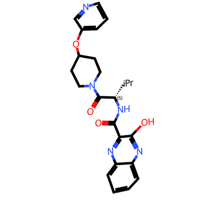 CC(C)[C@H](NC(=O)c1nc2ccccc2nc1O)C(=O)N1CCC(Oc2cccnc2)CC1